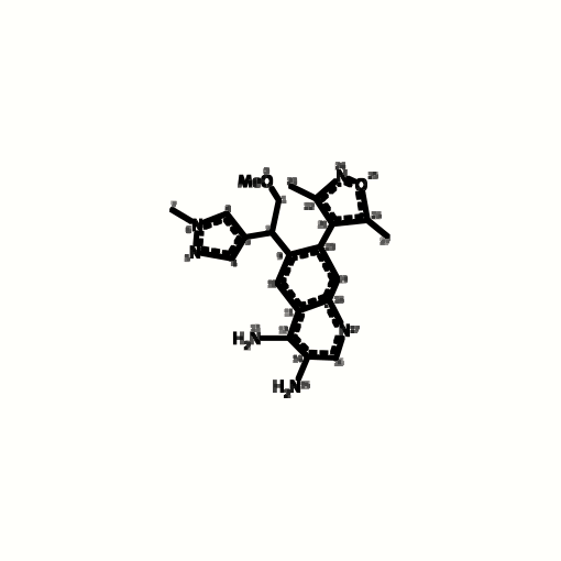 COCC(c1cnn(C)c1)c1cc2c(N)c(N)cnc2cc1-c1c(C)noc1C